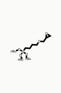 CCCCO[Si](CCCCOCC1CO1)(OCCCC)OCCCC